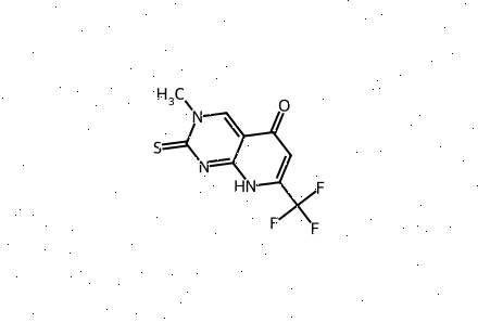 Cn1cc2c(=O)cc(C(F)(F)F)[nH]c2nc1=S